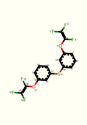 FC(F)=C(F)Oc1cccc(Sc2cccc(OC(F)=C(F)F)c2)c1